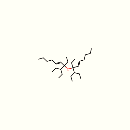 CCCCC=CC(CC)(OC(C=CCCCC)(CC)C(CC)CC)C(CC)CC